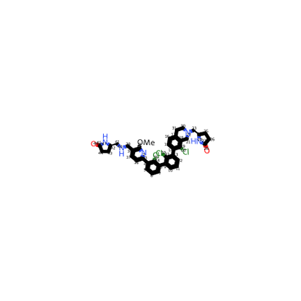 COc1nc(-c2cccc(-c3cccc(-c4ccc5c(c4Cl)CN(C[C@H]4CCC(=O)N4)CC5)c3Cl)c2Cl)ccc1CNC[C@H]1CCC(=O)N1